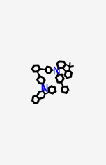 CC1(C)c2ccccc2-c2c(N(c3ccc(-c4ccccc4)cc3)c3ccc(-c4ccccc4-c4ccc(N5c6ccccc6C6C=c7ccccc7=CC65)cc4)cc3)cccc21